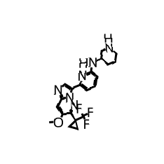 COc1cc2ncc(-c3cccc(NC4CCCNC4)n3)n2nc1C1(C(F)(F)F)CC1